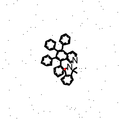 CC1(C)c2ccccc2CN1c1nccc2c(-c3ccccc3)c(-c3ccccc3)c(-c3ccccc3)c(-c3ccccc3)c12